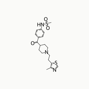 Cc1ncsc1CCN1CCC(C(=O)c2ccc(NS(C)(=O)=O)cc2)CC1